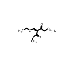 CCO/C=C(/C(=O)COC)C(=O)OC